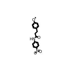 COc1ccc(CCC(=O)Nc2ccc([N+](=O)[O-])cc2)cc1